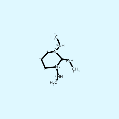 CNC1N(NC)CCCN1NC